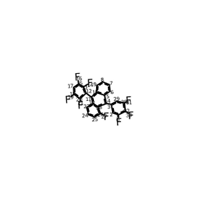 Fc1cc(-c2c3ccccc3c(-c3c(F)c(F)cc(F)c3F)c3cccc(F)c23)cc(F)c1F